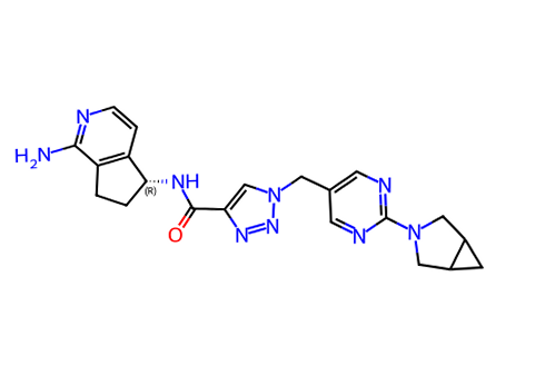 Nc1nccc2c1CC[C@H]2NC(=O)c1cn(Cc2cnc(N3CC4CC4C3)nc2)nn1